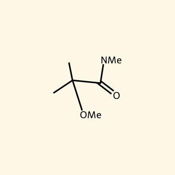 CNC(=O)C(C)(C)OC